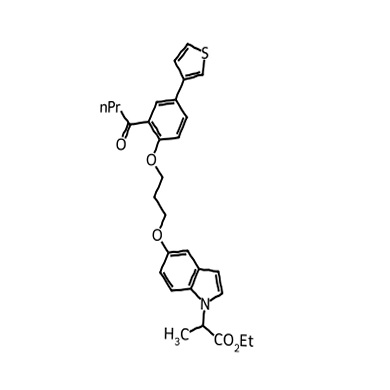 CCCC(=O)c1cc(-c2ccsc2)ccc1OCCCOc1ccc2c(ccn2C(C)C(=O)OCC)c1